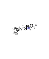 CCO/C(C)=N/OCCCN1CCCCC1